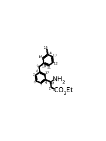 CCOC(=O)C[C@H](N)c1cccc(Cc2cccc(C)c2)c1